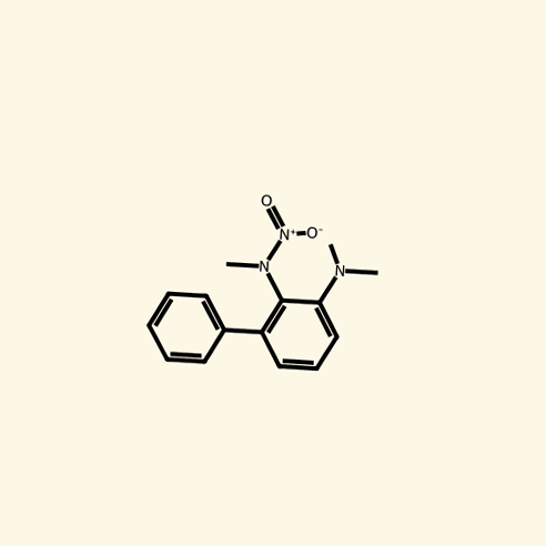 CN(C)c1cccc(-c2ccccc2)c1N(C)[N+](=O)[O-]